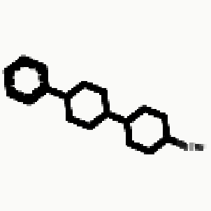 CCCCCCCCCCC1CCC(C2CCC(c3ccccc3)CC2)CC1